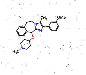 COc1cccc(-c2nc3n(c2C)CCc2ccccc2C3OC2CCN(C)CC2)c1